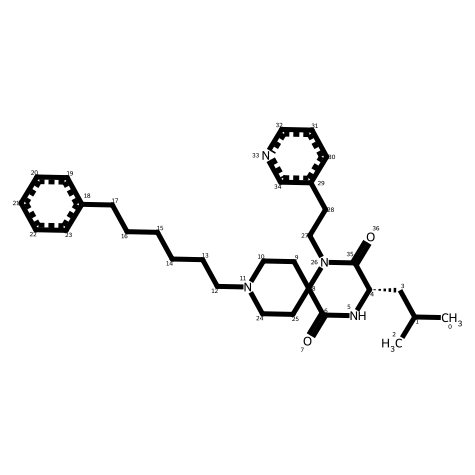 CC(C)C[C@@H]1NC(=O)C2(CCN(CCCCCCc3ccccc3)CC2)N(CCc2cccnc2)C1=O